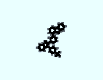 CC(C)(C)c1ccc(-n2c(-c3cccc(-c4cccc5c4sc4ccccc45)c3)nc3ccccc32)cc1